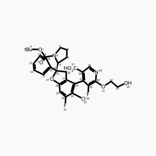 CC(C)(C)OC(=O)N1CCCC1[C@@]1(c2ccccc2)Cc2c(cc(F)c(Cl)c2-c2c(C(=O)O)cnc(OCCO)c2F)O1